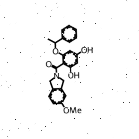 COc1ccc2c(c1)CN(C(=O)c1c(O)cc(O)cc1OC(C)c1ccccc1)C2